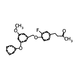 COc1cc(COc2ccc(CCC(C)=O)cc2F)cc(Oc2ccccc2)c1